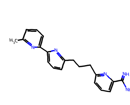 Cc1cccc(-c2cccc(CCCc3cccc(C(=N)N)n3)n2)n1